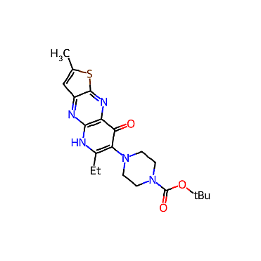 CCc1[nH]c2nc3cc(C)sc3nc2c(=O)c1N1CCN(C(=O)OC(C)(C)C)CC1